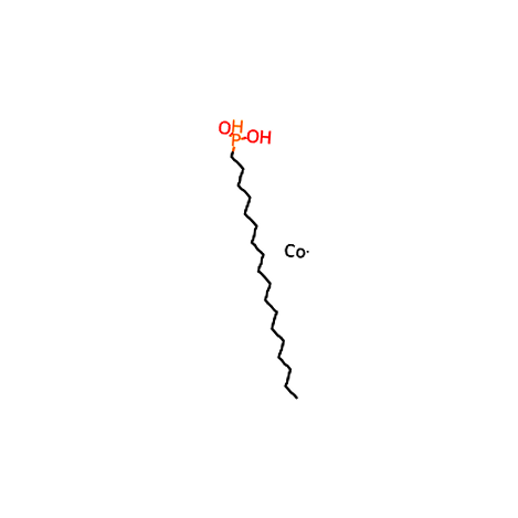 CCCCCCCCCCCCCCCCCC[PH](=O)O.[Co]